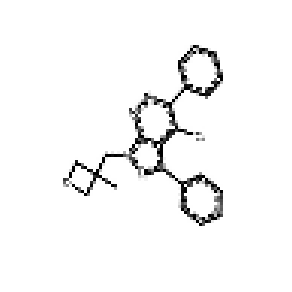 CC1(Cn2nc(-c3ccccc3)c3c(Cl)c(-c4ccccc4)nnc32)COC1